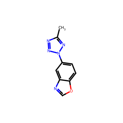 Cc1nnn(-c2ccc3o[c]nc3c2)n1